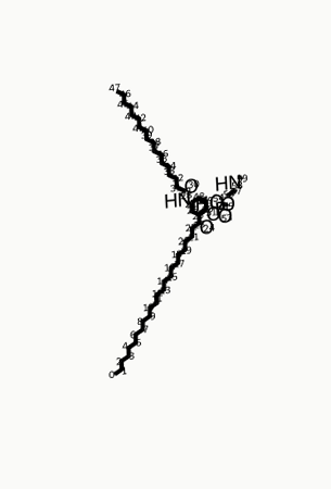 CCCCCCCCCCCCCCCCCCCCCCCC(=O)c1cc(NC(=O)CCCCCCCCCCCCCCCCC)ccc1OP(=O)(O)OCCNC